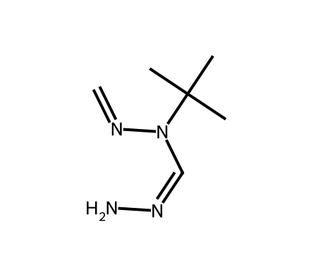 C=NN(/C=N\N)C(C)(C)C